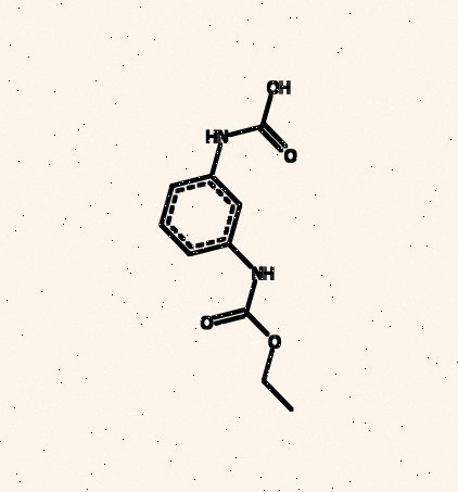 CCOC(=O)Nc1cccc(NC(=O)O)c1